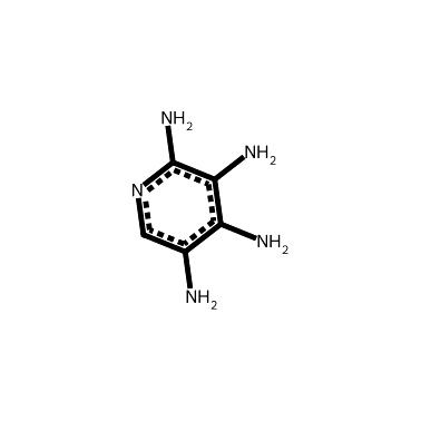 Nc1cnc(N)c(N)c1N